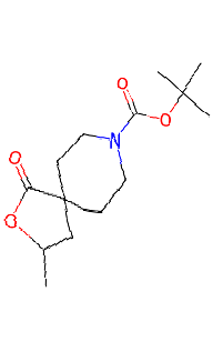 CC1CC2(CCN(C(=O)OC(C)(C)C)CC2)C(=O)O1